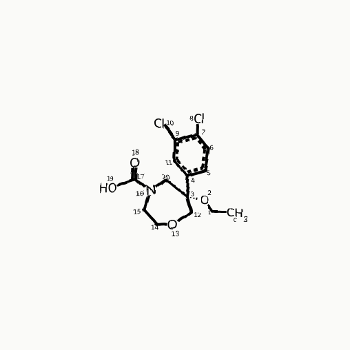 CCO[C@]1(c2ccc(Cl)c(Cl)c2)COCCN(C(=O)O)C1